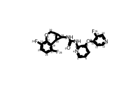 O=C(Nc1ncccc1Oc1ccncc1F)NC1C2COc3c(F)ccc(F)c3C21